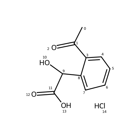 CC(=O)c1ccccc1C(O)C(=O)O.Cl